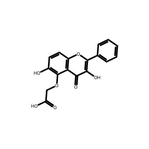 O=C(O)COc1c(O)ccc2oc(-c3ccccc3)c(O)c(=O)c12